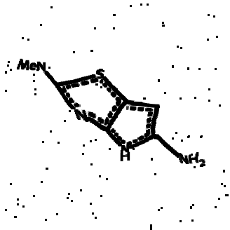 CNc1nc2[nH]c(N)cc2s1